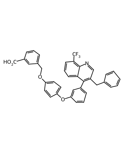 O=C(O)c1cccc(COc2ccc(Oc3cccc(-c4c(Cc5ccccc5)cnc5c(C(F)(F)F)cccc45)c3)cc2)c1